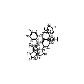 Cc1ccc([C@H]2C[C@@]3(C)C(CC[C@]34OCCC4=C(F)F)C3CC[C@@]4(O)CC5(CCC4=C32)OCCO5)cc1